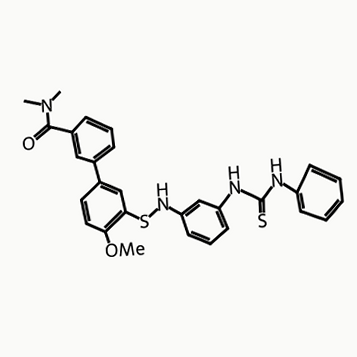 COc1ccc(-c2cccc(C(=O)N(C)C)c2)cc1SNc1cccc(NC(=S)Nc2ccccc2)c1